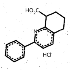 Cl.O=C(O)C1CCCc2ccc(-c3ccccc3)nc21